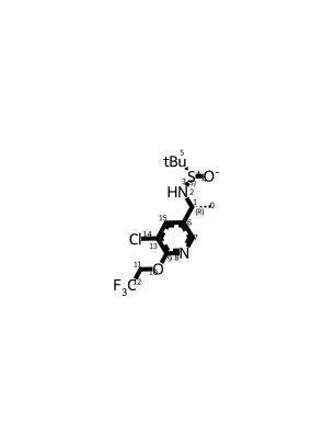 C[C@@H](N[S@+]([O-])C(C)(C)C)c1cnc(OCC(F)(F)F)c(Cl)c1